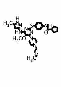 COCCN1CCN(c2nc(Sc3ccc(NC(=O)C4CCCC4)cc3)nc(Nc3cc(C)[nH]n3)c2OC)CC1